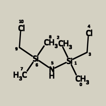 C[Si](C)(CCl)N[Si](C)(C)CCl